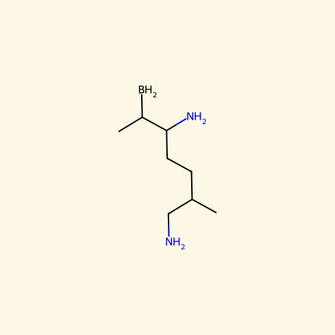 BC(C)C(N)CCC(C)CN